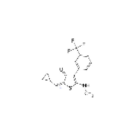 CNC1=C(c2cccc(C(F)(F)F)c2)C(=O)/C(=C\C2CC2)S1